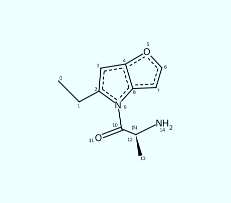 CCc1cc2occc2n1C(=O)[C@H](C)N